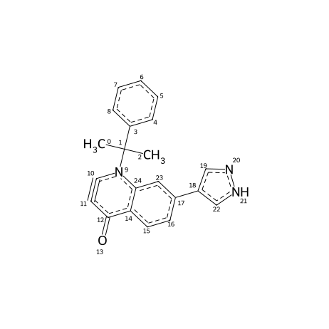 CC(C)(c1ccccc1)n1c#cc(=O)c2ccc(-c3cn[nH]c3)cc21